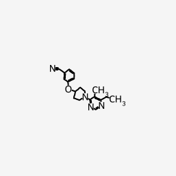 CCc1ncnc(N2CCC(Oc3cccc(C#N)c3)CC2)c1C